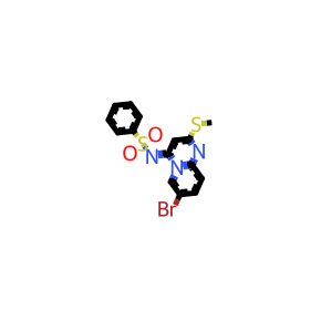 CSc1cc(=NS(=O)(=O)c2ccccc2)n2cc(Br)ccc2n1